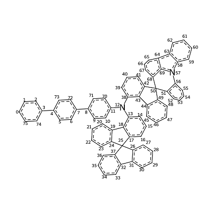 c1ccc(-c2ccc(-c3ccc(N(c4cccc5c4-c4ccccc4C54c5ccccc5-c5ccccc54)c4cccc5c4-c4ccccc4C54c5ccccc5-n5c6ccccc6c6cccc4c65)cc3)cc2)cc1